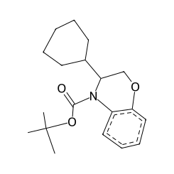 CC(C)(C)OC(=O)N1c2ccccc2OCC1C1CCCCC1